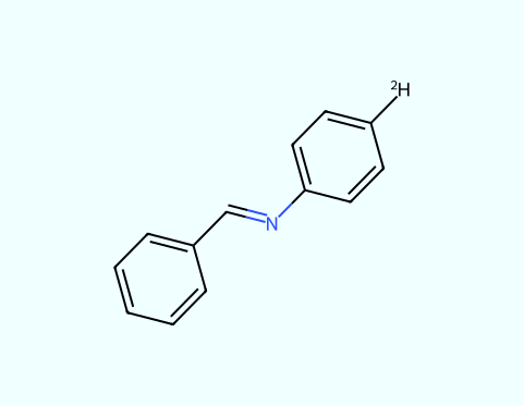 [2H]c1ccc(N=Cc2ccccc2)cc1